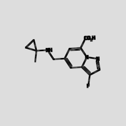 CC1(NCc2cc(C(=O)O)n3ncc(F)c3c2)CC1